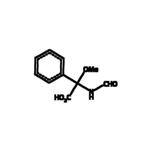 COC(NC=O)(C(=O)O)c1ccccc1